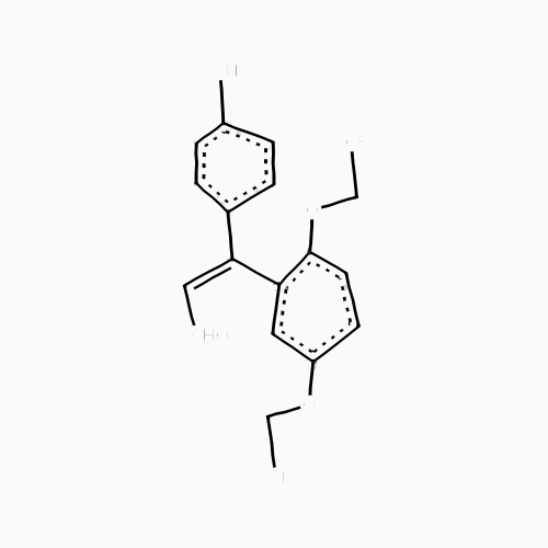 Cc1ccc(C(=CC=O)c2cc(OCC(F)(F)F)ccc2OCC(F)(F)F)cc1